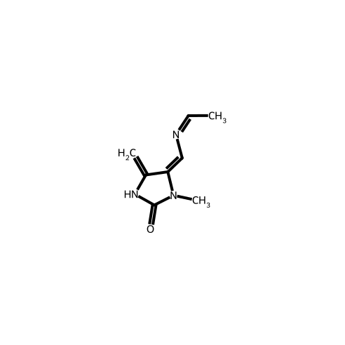 C=c1[nH]c(=O)n(C)/c1=C/N=C\C